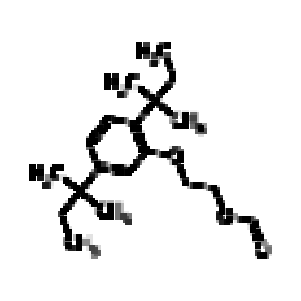 CCC(C)(C)c1ccc(C(C)(C)CC)c(OCCOC=O)c1